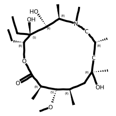 CC[C@H]1OC(=O)[C@H](C)[C@@H](OC)[C@H](C)C[C@](C)(O)C[C@@H](C)CN(C)[C@H](C)[C@@H](O)[C@@]1(O)CC